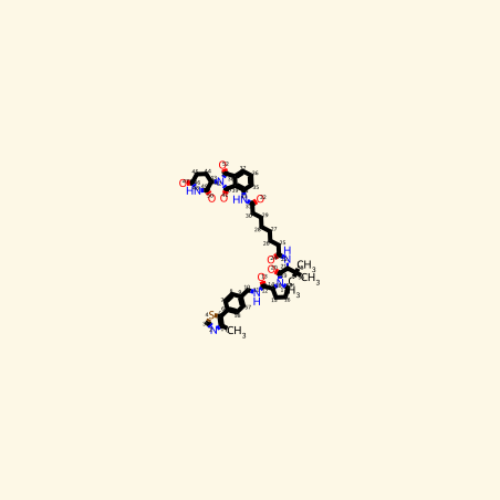 Cc1ncsc1-c1ccc(CNC(=O)C2CCCN2C(=O)[C@@H](NC(=O)CCCCCCC(=O)Nc2cccc3c2C(=O)N(C2CCC(=O)NC2=O)C3=O)C(C)(C)C)cc1